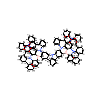 c1ccc(-c2ccccc2N2c3cc4c(cc3B3c5ccccc5N(c5c(-c6ccccc6)cccc5-c5ccccc5)c5cc(N(c6ccccc6)c6ccccc6)cc2c53)c2cccc3c5cc6c(cc5n4c23)N(c2ccccc2-c2ccccc2)c2cc(N(c3ccccc3)c3ccccc3)cc3c2B6c2ccccc2N3c2c(-c3ccccc3)cccc2-c2ccccc2)cc1